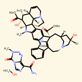 CC[C@]1(O)C[C@@H]2C[N@@](CCc3c([nH]c4ccccc34)[C@@](C(=O)OC)(c3cc4c(cc3OC)N(C)[C@H]3[C@@](O)(C(=O)OC)[C@H](OC(C)=O)[C@]5(CC)C=CCN6CC[C@]43[C@@H]65)C2)C1.Cn1nnc2c(C(N)=O)ncn2c1=O.O=S(=O)(O)O